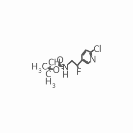 CC(C)(C)OC(=O)NCC(F)c1ccc(Cl)nc1